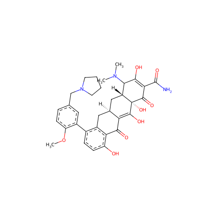 COc1ccc(CN2CCCC2)cc1-c1ccc(O)c2c1C[C@H]1C[C@@H]3C(N(C)C)C(O)=C(C(N)=O)C(=O)[C@@]3(O)C(O)=C1C2=O